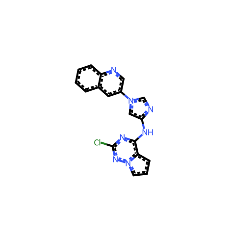 Clc1nc(Nc2cn(-c3cnc4ccccc4c3)cn2)c2cccn2n1